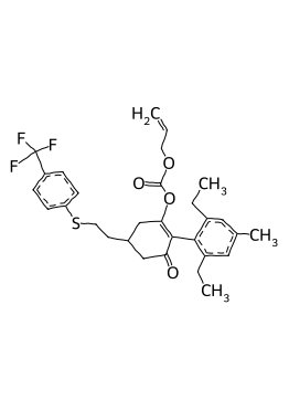 C=CCOC(=O)OC1=C(c2c(CC)cc(C)cc2CC)C(=O)CC(CCSc2ccc(C(F)(F)F)cc2)C1